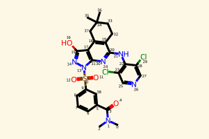 CN(C)C(=O)c1cccc(S(=O)(=O)n2nc(O)c3c4c(c(Nc5c(Cl)cncc5Cl)nc32)CCC(C)(C)C4)c1